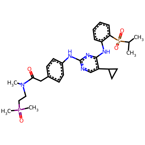 CC(C)S(=O)(=O)c1ccccc1Nc1nc(Nc2ccc(CC(=O)N(C)CCP(C)(C)=O)cc2)ncc1C1CC1